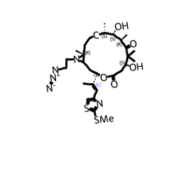 CSc1nc(/C=C(\C)[C@@H]2CC3N(CCN=[N+]=[N-])[C@]3(C)CCC[C@H](C)[C@H](O)[C@@H](C)C(=O)C(C)(C)[C@@H](O)CC(=O)O2)cs1